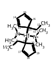 CC[C]1([Hf]([N](C)C)([N](C)C)[C]2(CC)C=CC=C2)C=CC=C1